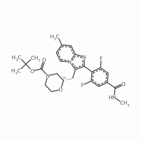 CNC(=O)c1cc(F)c(-c2nc3cc(C)ccn3c2C[C@H]2CN(C(=O)OC(C)(C)C)CCO2)c(F)c1